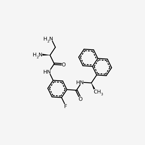 C[C@@H](NC(=O)c1cc(NC(=O)[C@@H](N)CN)ccc1F)c1cccc2ccccc12